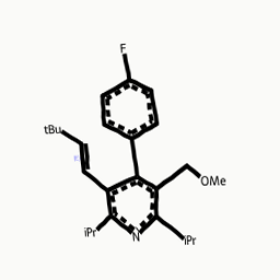 COCc1c(C(C)C)nc(C(C)C)c(/C=C/C(C)(C)C)c1-c1ccc(F)cc1